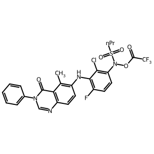 CCCS(=O)(=O)N(OC(=O)C(F)(F)F)c1ccc(F)c(Nc2ccc3ncn(-c4ccccc4)c(=O)c3c2C)c1Cl